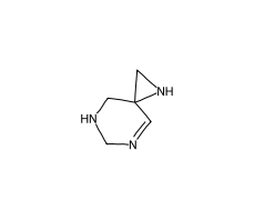 C1=NCNCC12CN2